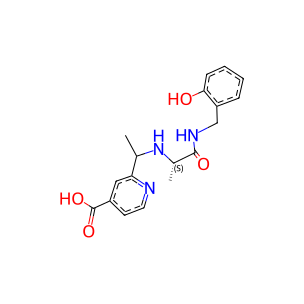 CC(N[C@@H](C)C(=O)NCc1ccccc1O)c1cc(C(=O)O)ccn1